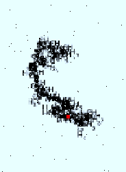 C=CC(=O)N(CCC(=O)NCCC(=O)Nc1cc(C[C@@H](CC(C)C(=O)O)NC(=O)c2csc([C@@H](C[C@H](C(C)C)N(C)C(=O)[C@@H](NC(O)C(C)(C)N(C)C)[C@@H](C)CC)OC(C)=O)n2)ccc1O)N(CCC(=O)NCCC(=O)Nc1cc(C[C@@H](CC(C)C(=O)O)NC(=O)c2csc([C@@H](C[C@H](C(C)C)N(C)C(=O)[C@@H](NC(=O)C(C)(C)N(C)C)[C@@H](C)CC)OC(C)=O)n2)ccc1O)C(C)=O